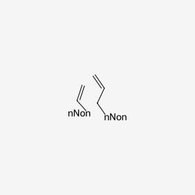 C=CCCCCCCCCC.C=CCCCCCCCCCC